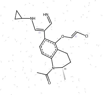 CC(=O)N1c2ccc(/C(C=N)=C/NC3CC3)c(O/C=C/Cl)c2CC[C@@H]1C